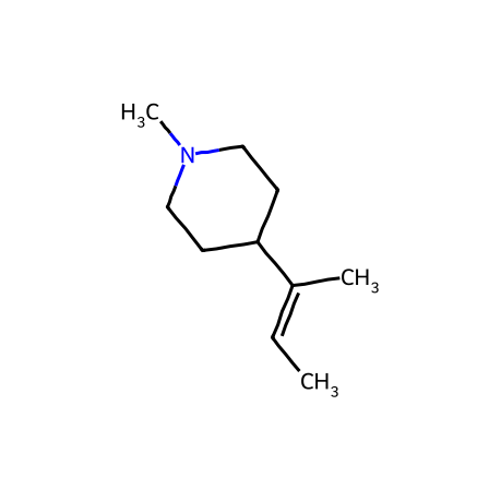 C/C=C(\C)C1CCN(C)CC1